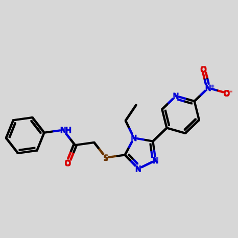 CCn1c(SCC(=O)Nc2ccccc2)nnc1-c1ccc([N+](=O)[O-])nc1